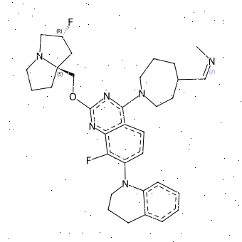 C/N=C\C1CCCN(c2nc(OC[C@@]34CCCN3C[C@H](F)C4)nc3c(F)c(N4CCCc5ccccc54)ccc23)CC1